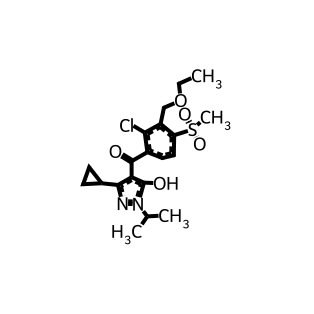 CCOCc1c(S(C)(=O)=O)ccc(C(=O)c2c(C3CC3)nn(C(C)C)c2O)c1Cl